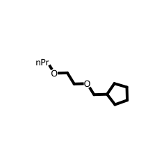 CCCOCCOCC1CCCC1